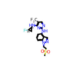 CS(=O)(=O)CCn1ncc2c(Nc3ncc(C(F)(F)F)c(N[C@H]4C[C@H]4F)n3)cccc21